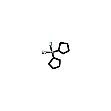 CC[Si](Cl)(C1CCCC1)C1CCCC1